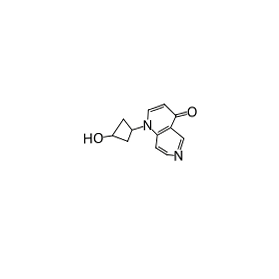 O=c1ccn(C2CC(O)C2)c2ccncc12